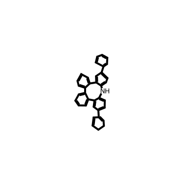 C1=CC(c2ccc3[nH]c4ccc(-c5ccccc5)cc4c4ccccc4c4ccccc4c3c2)=CCC1